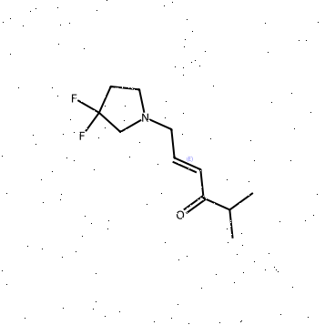 CC(C)C(=O)/C=C/CN1CCC(F)(F)C1